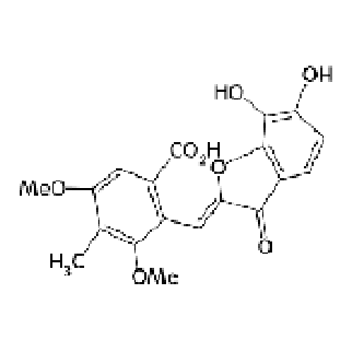 COc1cc(C(=O)O)c(C=C2Oc3c(ccc(O)c3O)C2=O)c(OC)c1C